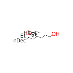 CC(=O)O.CCCCCCCCCCCCCCCCO.CCOCC